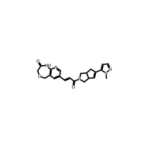 Cn1nccc1C1=CC2CN(C(=O)/C=C/c3cnc4c(c3)COCC(=O)N4)CC2C1